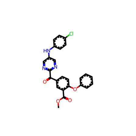 COC(=O)c1cc(C(=O)c2ncc(Nc3ccc(Cl)cc3)cn2)ccc1Oc1ccccc1